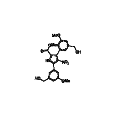 COC(=O)c1[nH]c(-c2cc(CO)cc(OC)c2)c([N+](=O)[O-])c1-c1cc(CO)cc(OC)c1